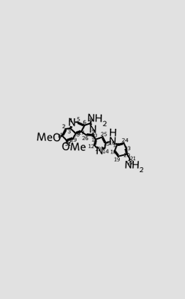 COc1cc2ncc3c(N)nc(-c4cncc(Nc5ccc(CN)cc5)c4)cc3c2cc1OC